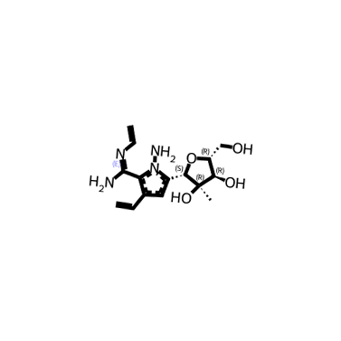 C=C/N=C(/N)c1c(C=C)cc([C@@H]2O[C@H](CO)[C@@H](O)[C@@]2(C)O)n1N